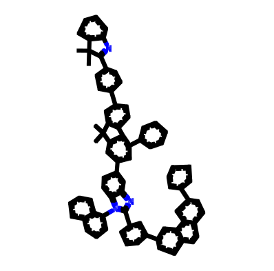 CC1(C)C(c2ccc(-c3ccc4c(c3)C(C)(C)c3cc(-c5ccc6c(c5)nc(-c5cccc(-c7ccc8ccc9ccc(-c%10ccccc%10)cc9c8c7)c5)n6-c5cccc6ccccc56)cc(-c5ccccc5)c3-4)cc2)=Nc2ccccc21